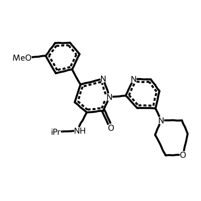 COc1cccc(-c2cc(NC(C)C)c(=O)n(-c3cc(N4CCOCC4)ccn3)n2)c1